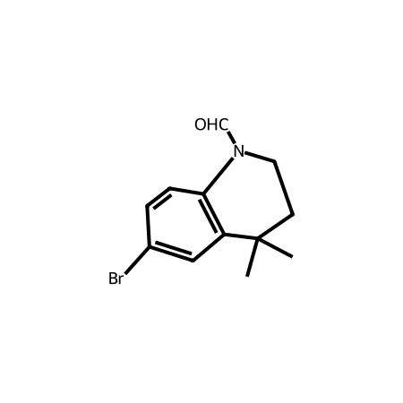 CC1(C)CCN(C=O)c2ccc(Br)cc21